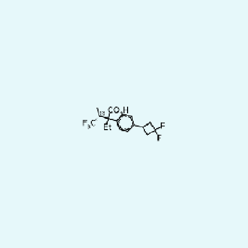 CCC(C(=O)O)(c1ccc(C2CC(F)(F)C2)cc1)[C@@H](C)C(F)(F)F